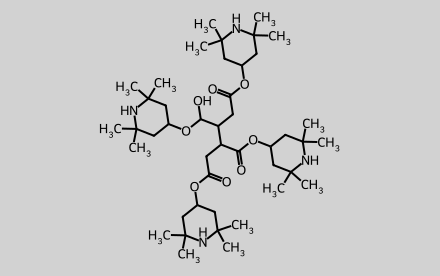 CC1(C)CC(OC(=O)CC(C(=O)OC2CC(C)(C)NC(C)(C)C2)C(CC(=O)OC2CC(C)(C)NC(C)(C)C2)C(O)OC2CC(C)(C)NC(C)(C)C2)CC(C)(C)N1